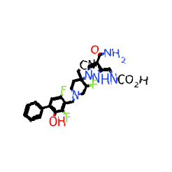 N#CCC1(n2cc(C(N)=O)c(CNC(=O)O)n2)CCN(Cc2c(F)cc(-c3ccccc3)c(O)c2F)CC1F